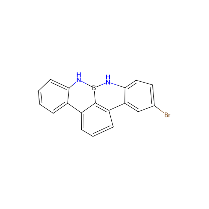 Brc1ccc2c(c1)-c1cccc3c1B(Nc1ccccc1-3)N2